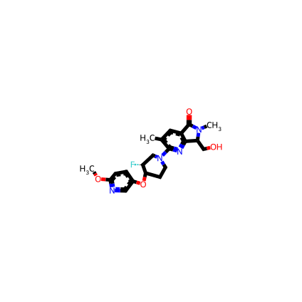 COc1ccc(OC2CCN(c3nc4c(cc3C)C(=O)N(C)C4CO)C[C@H]2F)cn1